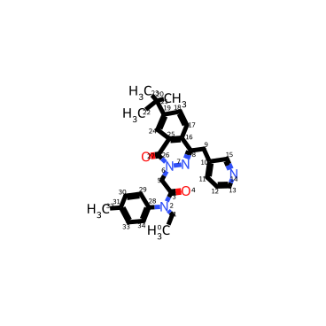 CCN(C(=O)Cn1nc(Cc2cccnc2)c2ccc(C(C)(C)C)cc2c1=O)c1ccc(C)cc1